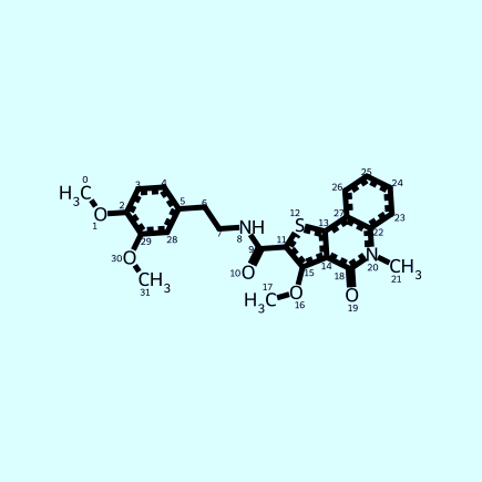 COc1ccc(CCNC(=O)c2sc3c(c2OC)c(=O)n(C)c2ccccc32)cc1OC